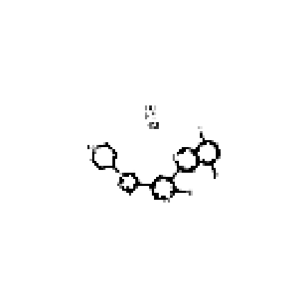 Cl.Cl.Cl.Nc1ncc(-c2cnn(C3CCNCC3)c2)cc1-c1cc2c(F)ccc(F)c2cn1